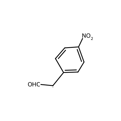 O=C[CH]c1ccc([N+](=O)[O-])cc1